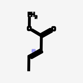 C/C=C/C(=O)OP